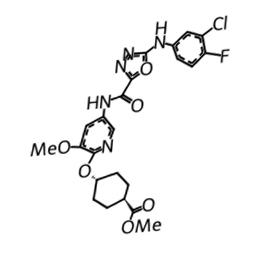 COc1cc(NC(=O)c2nnc(Nc3ccc(F)c(Cl)c3)o2)cnc1O[C@H]1CC[C@H](C(=O)OC)CC1